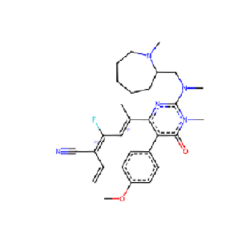 C=C/C(C#N)=C(F)\C=C(/C)c1nc(N(C)CC2CCCCCN2C)n(C)c(=O)c1-c1ccc(OC)cc1